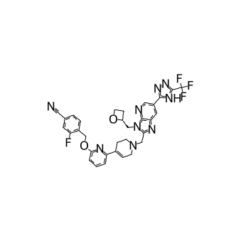 N#Cc1ccc(COc2cccc(C3=CCN(Cc4nc5cc(-c6nnc(C(F)(F)F)[nH]6)cnc5n4C[C@@H]4CCO4)CC3)n2)c(F)c1